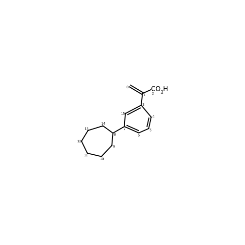 C=C(C(=O)O)c1cccc(C2CCCCCC2)c1